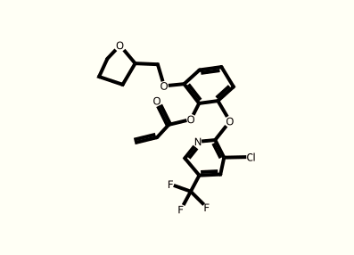 C=CC(=O)Oc1c(OCC2CCCO2)cccc1Oc1ncc(C(F)(F)F)cc1Cl